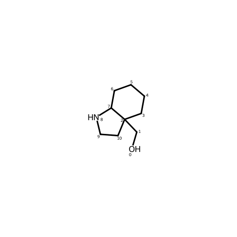 OCC12CCCCC1NCC2